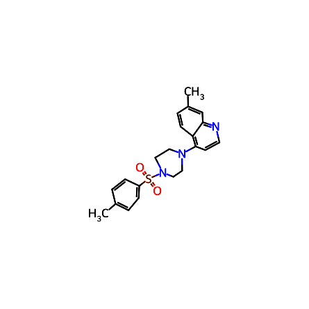 Cc1ccc(S(=O)(=O)N2CCN(c3ccnc4cc(C)ccc34)CC2)cc1